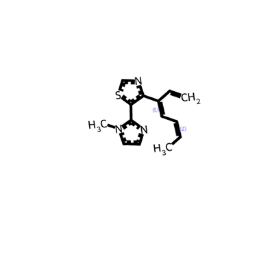 C=C/C(=C\C=C/C)c1ncsc1-c1nccn1C